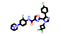 CN1C2CC1CN(c1ccc(NC(=O)c3coc(-c4c(-c5ccc(F)cc5)ncn4C4CC(F)(F)C4)n3)c(F)c1)C2